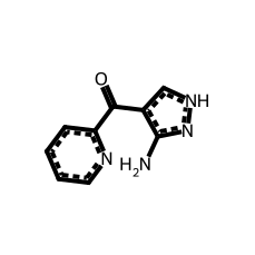 Nc1n[nH]cc1C(=O)c1ccccn1